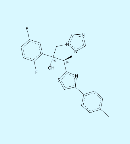 Cc1ccc(-c2csc([C@H](C)[C@](O)(Cn3cncn3)c3cc(F)ccc3F)n2)cc1